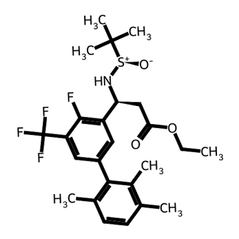 CCOC(=O)C[C@H](N[S@+]([O-])C(C)(C)C)c1cc(-c2c(C)ccc(C)c2C)cc(C(F)(F)F)c1F